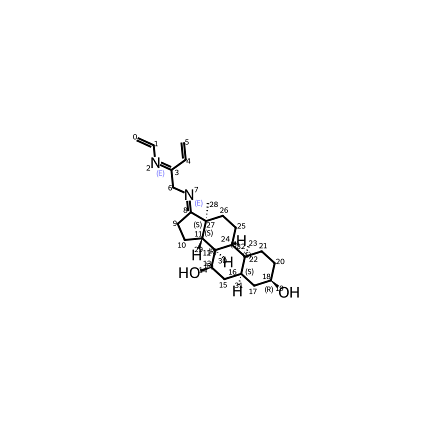 C=C/N=C(\C=C)C/N=C1\CC[C@H]2[C@@H]3[C@H](O)C[C@@H]4C[C@H](O)CC[C@]4(C)[C@H]3CC[C@]12C